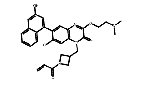 C=CC(=O)N1CC(Cn2c(=O)c(OCCN(C)C)nc3cc(-c4cc(O)cc5ccccc45)c(Cl)cc32)C1